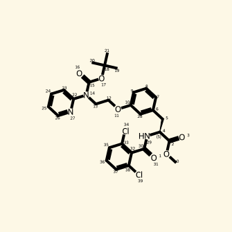 COC(=O)[C@H](Cc1cccc(OCCN(C(=O)OC(C)(C)C)c2ccccn2)c1)NC(=O)c1c(Cl)cccc1Cl